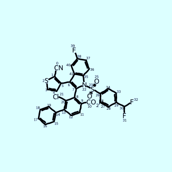 N#Cc1sccc1-c1c(-c2c(C(=O)O)ccc(-c3ccccc3)c2Cl)n(S(=O)(=O)c2ccc(C(F)F)cc2)c2ccc(F)cc12